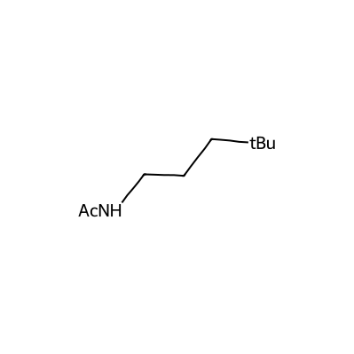 [CH2]C(=O)NCCCC(C)(C)C